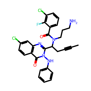 CC#CCC(c1nc2cc(Cl)ccc2c(=O)n1Nc1ccccc1)N(CCCN)C(=O)c1cccc(Cl)c1F